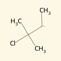 C[CH]C(C)(C)Cl